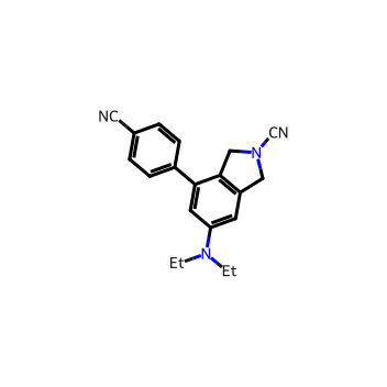 CCN(CC)c1cc2c(c(-c3ccc(C#N)cc3)c1)CN(C#N)C2